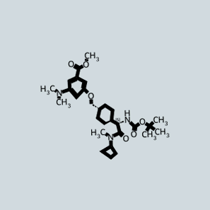 COC(=O)c1cc(OC[C@H]2CC[C@H]([C@H](NC(=O)OC(C)(C)C)C(=O)N(C)C3CCC3)CC2)cc(N(C)C)c1